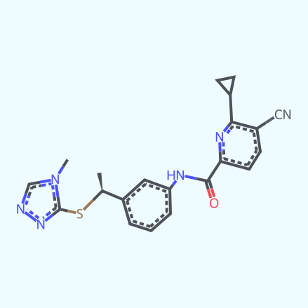 C[C@H](Sc1nncn1C)c1cccc(NC(=O)c2ccc(C#N)c(C3CC3)n2)c1